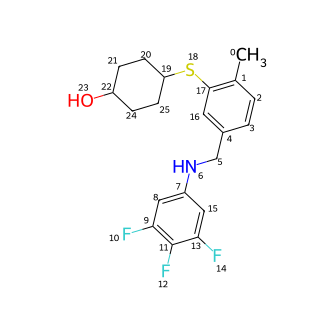 Cc1ccc(CNc2cc(F)c(F)c(F)c2)cc1SC1CCC(O)CC1